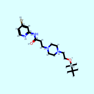 CC(C)(C)[Si](C)(C)OCCN1CCN(CCC(=O)Nc2cc(Br)ccn2)CC1